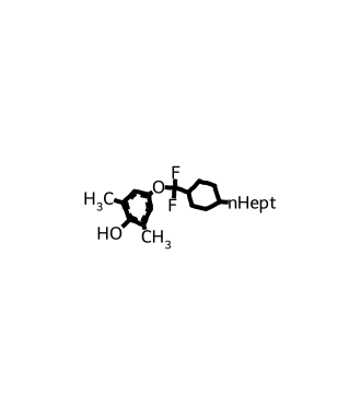 CCCCCCCC1CCC(C(F)(F)Oc2cc(C)c(O)c(C)c2)CC1